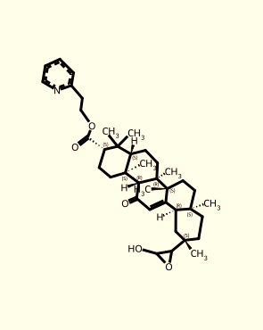 CC1(C)[C@@H](C(=O)OCCc2ccccn2)CC[C@]2(C)[C@H]3C(=O)C=C4[C@@H]5C[C@@](C)(C6OC6O)CC[C@]5(C)CC[C@@]4(C)[C@]3(C)CC[C@@H]12